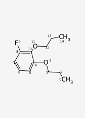 CCCOc1cc[c]c(F)c1OCCC